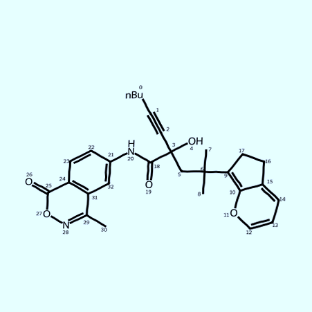 CCCCC#CC(O)(CC(C)(C)C1=C2OC=CC=C2CC1)C(=O)Nc1ccc2c(=O)onc(C)c2c1